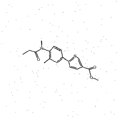 CCC(=O)N(C)c1ccc(-c2ccc(C(=O)OC)cn2)cc1C